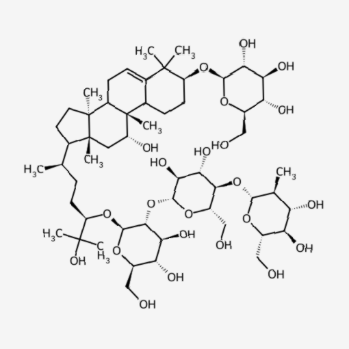 C[C@@H]1[C@@H](O[C@@H]2[C@@H](O)[C@H](O)[C@@H](O[C@H]3[C@H](O[C@H](CC[C@@H](C)C4CC[C@@]5(C)C6CC=C7C(CC[C@H](O[C@@H]8O[C@H](CO)[C@@H](O)[C@H](O)[C@H]8O)C7(C)C)[C@]6(C)[C@H](O)C[C@]45C)C(C)(C)O)O[C@H](CO)[C@@H](O)[C@@H]3O)O[C@H]2CO)O[C@@H](CO)[C@H](O)[C@H]1O